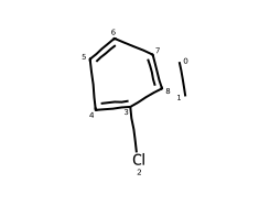 CC.Clc1ccccc1